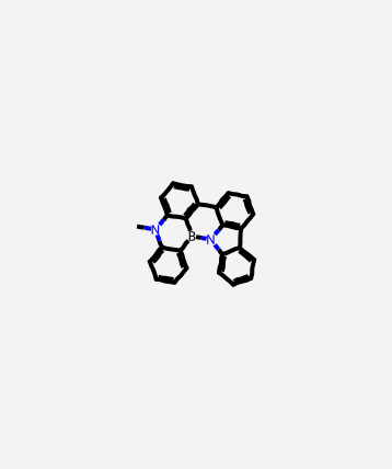 CN1c2ccccc2B2c3c(cccc31)-c1cccc3c4ccccc4n2c13